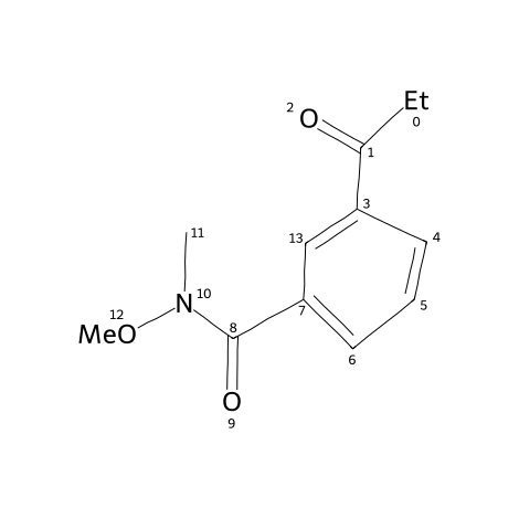 CCC(=O)c1cccc(C(=O)N(C)OC)c1